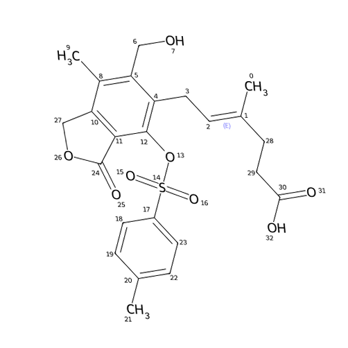 C/C(=C\Cc1c(CO)c(C)c2c(c1OS(=O)(=O)c1ccc(C)cc1)C(=O)OC2)CCC(=O)O